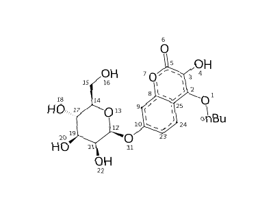 CCCCOc1c(O)c(=O)oc2cc(O[C@@H]3O[C@H](CO)[C@@H](O)[C@H](O)[C@@H]3O)ccc12